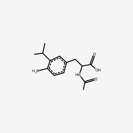 CC(=O)NC(Cc1ccc(N)c(C(C)C)c1)C(=O)O